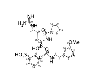 COc1cccc(CCNC(=O)OB(O)C(CCCNC(=N)N)NC(=O)C2CCCC2)c1.O=S(=O)(O)c1ccccc1